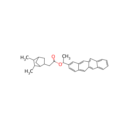 CC(OC(=O)CC1CC2CC1C(C)C2C)c1ccc2cc3cc4ccccc4cc3cc2c1